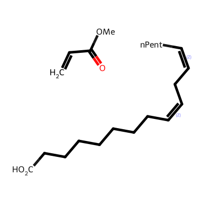 C=CC(=O)OC.CCCCC/C=C\C/C=C\CCCCCCCC(=O)O